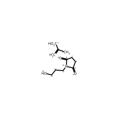 C=C(C)C(=O)O.O=C1CCC(=O)N1CCCO